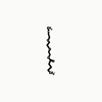 [CH2]CCCC(=O)OCCOCCOCCCC